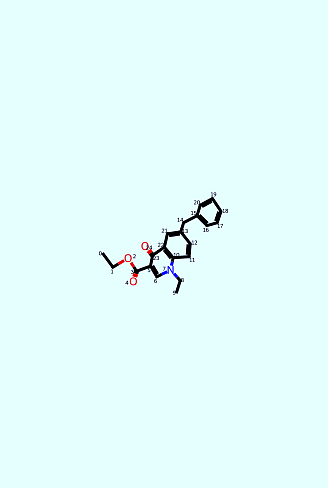 CCOC(=O)c1cn(CC)c2ccc(Cc3ccccc3)cc2c1=O